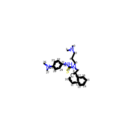 CN(C)CCCN(Cc1cccc2ccccc12)C(=S)Nc1ccc(N(C)C)cc1